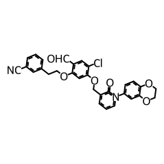 N#Cc1cccc(CCOc2cc(OCc3cccn(-c4ccc5c(c4)OCCO5)c3=O)c(Cl)cc2C=O)c1